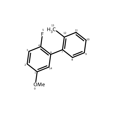 COc1ccc(F)c(-c2ccc[c]c2C)c1